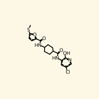 CSc1ccc(C(=O)NC2CCC(C(=O)Nc3cc(Cl)cnc3O)CC2)o1